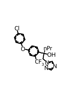 CCC[C@@](O)(Cn1cncn1)c1ccc(Oc2ccc(Cl)cc2)cc1C(F)(F)F